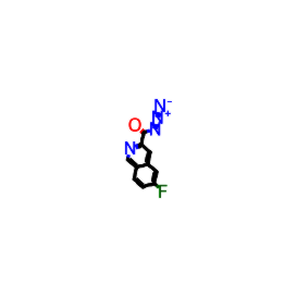 [N-]=[N+]=NC(=O)c1cc2cc(F)ccc2cn1